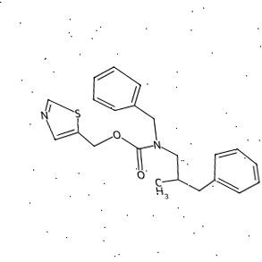 CC(Cc1ccccc1)CN(Cc1ccccc1)C(=O)OCc1cncs1